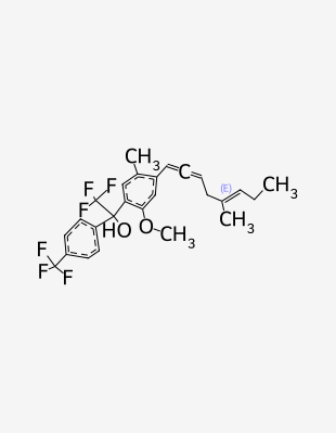 CC/C=C(\C)CC=C=Cc1cc(OC)c(C(O)(c2ccc(C(F)(F)F)cc2)C(F)(F)F)cc1C